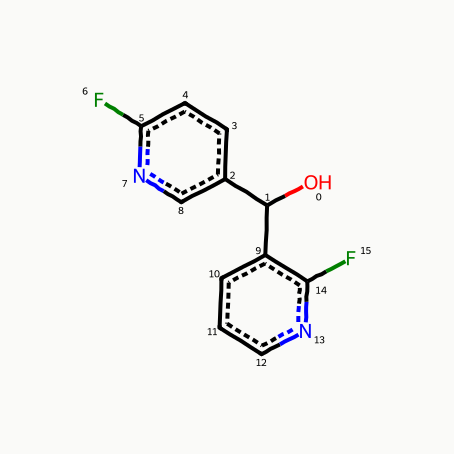 OC(c1ccc(F)nc1)c1cccnc1F